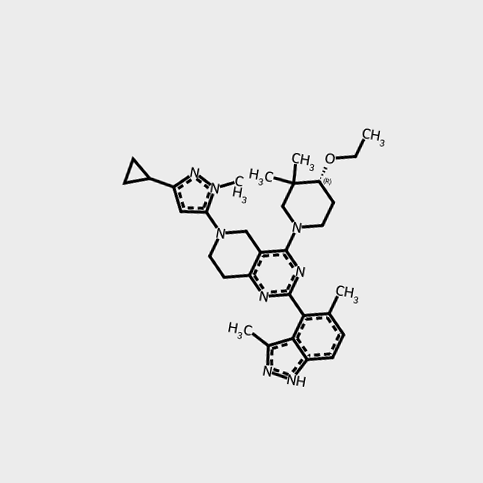 CCO[C@@H]1CCN(c2nc(-c3c(C)ccc4[nH]nc(C)c34)nc3c2CN(c2cc(C4CC4)nn2C)CC3)CC1(C)C